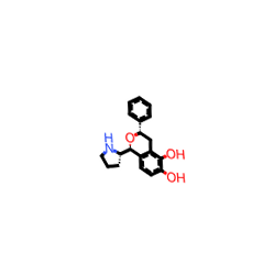 Oc1ccc2c(c1O)C[C@@H](c1ccccc1)O[C@H]2[C@@H]1CCCN1